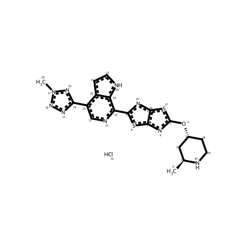 C[C@H]1C[C@H](Oc2nc3sc(-c4ncc(-c5nnn(C)n5)c5cc[nH]c45)nc3s2)CCN1.Cl